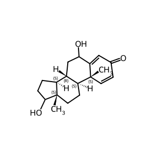 C[C@]12C=CC(=O)C=C1C(O)C[C@@H]1[C@@H]2CC[C@]2(C)C(O)CC[C@@H]12